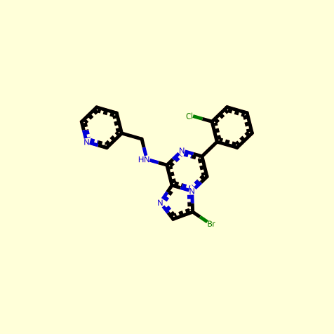 Clc1ccccc1-c1cn2c(Br)cnc2c(NCc2cccnc2)n1